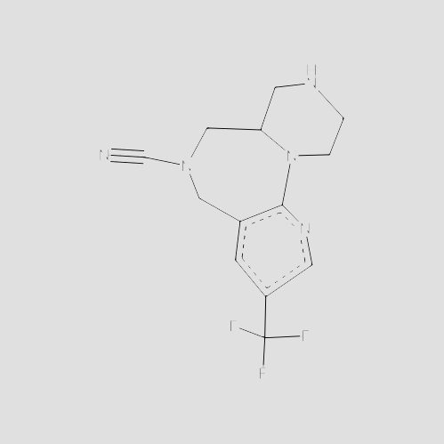 N#CN1Cc2cc(C(F)(F)F)cnc2N2CCNCC2C1